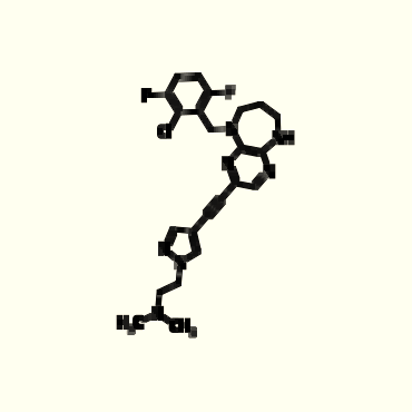 CN(C)CCn1cc(C#Cc2cnc3c(n2)N(Cc2c(F)ccc(F)c2Cl)CCCN3)cn1